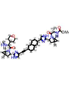 COC(=O)N[C@H](C(=O)N1[C@@H]2C[C@H]2C[C@H]1c1nc(-c2ccc3cc(C#Cc4c[nH]c([C@@H]5C[C@H]6C[C@H]6N5C(=O)[C@@H](NC(=O)O)C5CCOCC5)n4)ccc3c2)c[nH]1)C(C)C